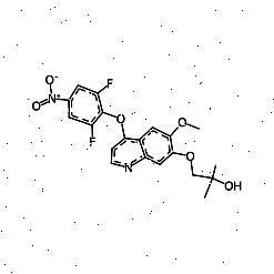 COc1cc2c(Oc3c(F)cc([N+](=O)[O-])cc3F)ccnc2cc1OCC(C)(C)O